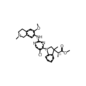 COC(=O)[C@@H](C)C1(C)CN(c2nc(Nc3cc4c(cc3OC)CCN(C)C4)ncc2Cl)c2ccccc21